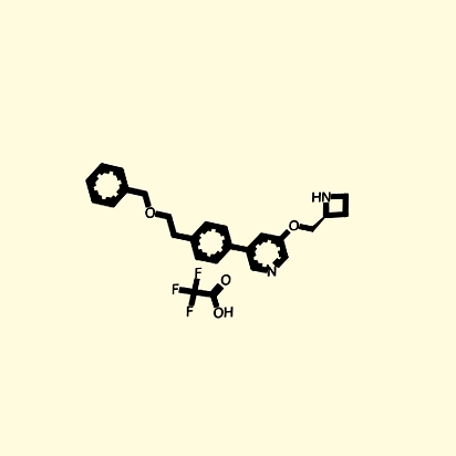 O=C(O)C(F)(F)F.c1ccc(COCCc2ccc(-c3cncc(OC[C@@H]4CCN4)c3)cc2)cc1